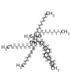 CCCCCCCCCCCCC(CCCCCCCCCC)CN1C(=O)C2=C(c3ccc(-c4cc5ccc6c(ccc7cc(-c8ccc(C)s8)sc76)c5s4)s3)N(CC(CCCCCCCCCC)CCCCCCCCCCCC)C(=O)C2=C1C